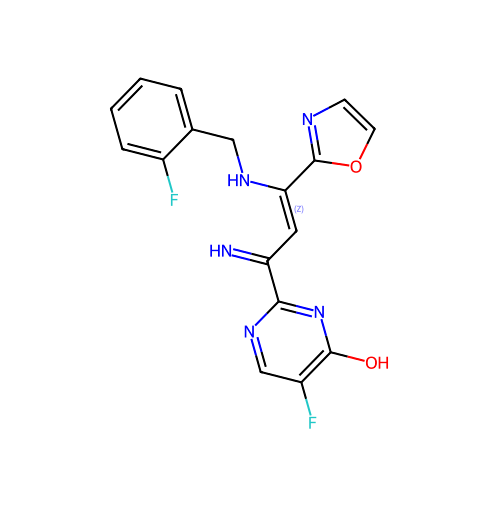 N=C(/C=C(\NCc1ccccc1F)c1ncco1)c1ncc(F)c(O)n1